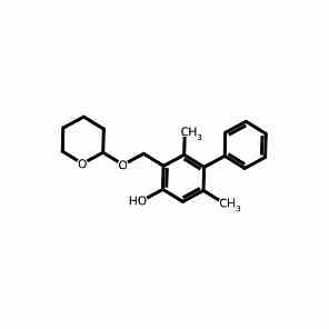 Cc1cc(O)c(COC2CCCCO2)c(C)c1-c1ccccc1